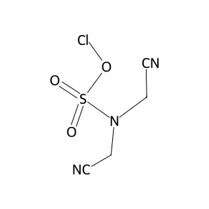 N#CCN(CC#N)S(=O)(=O)OCl